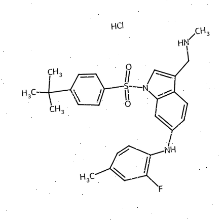 CNCc1cn(S(=O)(=O)c2ccc(C(C)(C)C)cc2)c2cc(Nc3ccc(C)cc3F)ccc12.Cl